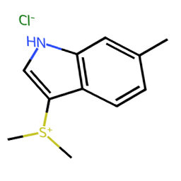 Cc1ccc2c([S+](C)C)c[nH]c2c1.[Cl-]